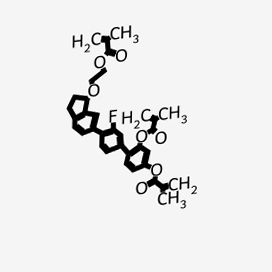 C=C(C)C(=O)OCCOC1CCc2ccc(-c3ccc(-c4ccc(OC(=O)C(=C)C)cc4OC(=O)C(=C)C)cc3F)cc21